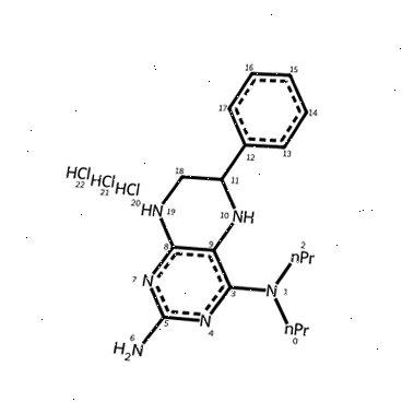 CCCN(CCC)c1nc(N)nc2c1NC(c1ccccc1)CN2.Cl.Cl.Cl